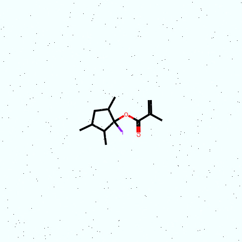 C=C(C)C(=O)OC1(I)C(C)CC(C)C1C